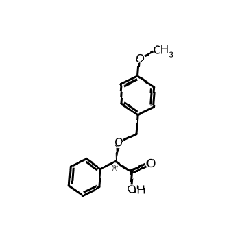 COc1ccc(CO[C@@H](C(=O)O)c2ccccc2)cc1